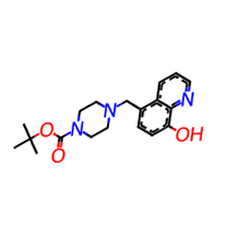 CC(C)(C)OC(=O)N1CCN(Cc2ccc(O)c3ncccc23)CC1